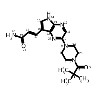 CC(C)(C)C(=O)N1CCN(c2cnc3[nH]cc(C=CC(N)=O)c3n2)CC1